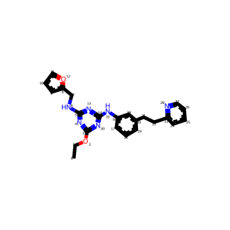 CCOc1nc(NCc2ccco2)nc(Nc2cccc(CCc3ccccn3)c2)n1